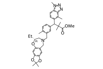 CC[C@@H]1CN(Cc2cc(C(c3ccc4c(nnn4C)c3C)C(C)(C)C(=O)OC)ccc2C)Cc2cc3c(cc2O1)OC(C)(C)O3